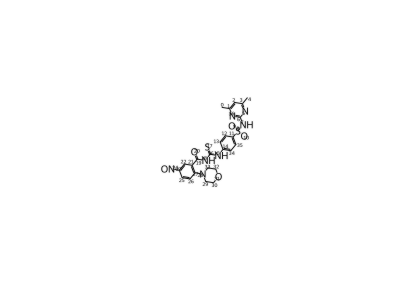 Cc1cc(C)nc(NS(=O)(=O)c2ccc(NC(=S)NC(=O)c3cc(N=O)ccc3N3CCOCC3)cc2)n1